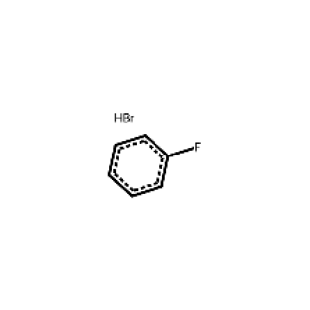 Br.Fc1ccccc1